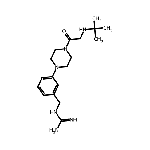 CC(C)(C)NCC(=O)N1CCN(c2cccc(CNC(=N)N)c2)CC1